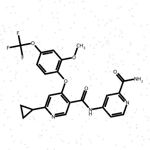 COc1cc(OC(F)(F)F)ccc1Oc1cc(C2CC2)ncc1C(=O)Nc1ccnc(C(N)=O)c1